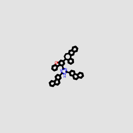 c1ccc2c(c1)-c1cc3ccccc3cc1CCC2c1cc(C2=NC(c3ccc4c(ccc5ccccc54)c3)NC(c3ccc4c(ccc5ccccc54)c3)=N2)c2c(c1)oc1ccccc12